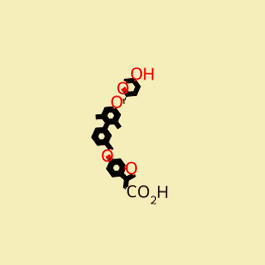 Cc1cc(OC[C@H]2CC[C@H](O)CO2)cc(C)c1-c1cccc(COc2ccc3c(c2)OCC3CC(=O)O)c1